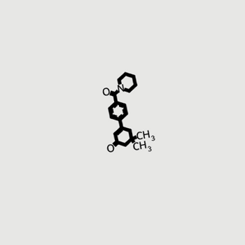 CC1(C)CC(=O)C=C(c2ccc(C(=O)N3CCCCC3)cc2)C1